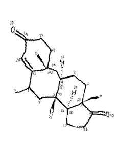 CC1C[C@@H]2[C@H](CC[C@]3(C)C(=O)CC[C@@H]23)[C@@]2(C)CCC(=O)C=C12